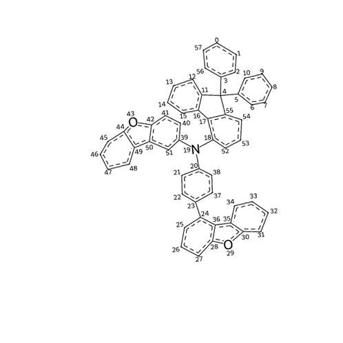 c1ccc(C2(c3ccccc3)c3ccccc3-c3c(N(c4ccc(-c5cccc6oc7ccccc7c56)cc4)c4ccc5oc6ccccc6c5c4)cccc32)cc1